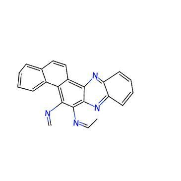 C=Nc1c(/N=C\C)c2nc3ccccc3nc2c2ccc3ccccc3c12